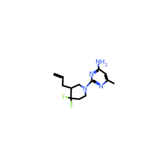 C=CCC1CN(c2nc(C)cc(N)n2)CCC1(F)F